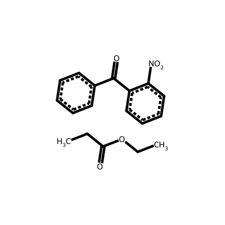 CCOC(=O)CC.O=C(c1ccccc1)c1ccccc1[N+](=O)[O-]